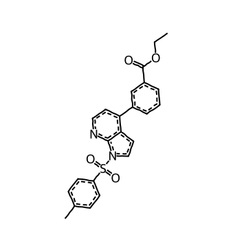 CCOC(=O)c1cccc(-c2ccnc3c2ccn3S(=O)(=O)c2ccc(C)cc2)c1